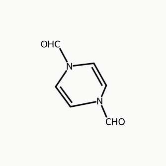 O=CN1C=CN(C=O)C=C1